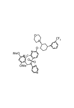 COc1ccc(CN(c2ccncn2)S(=O)(=O)c2ccc(O[C@H]3CC[C@H](c4cccc(C(F)(F)F)c4)C[C@@H]3N3CCOCC3)nc2C)c(OC)c1